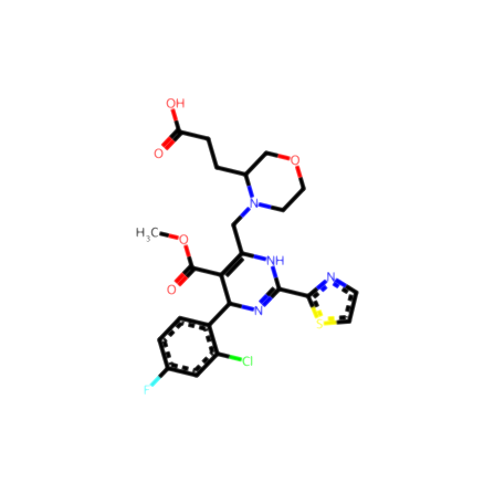 COC(=O)C1=C(CN2CCOCC2CCC(=O)O)NC(c2nccs2)=NC1c1ccc(F)cc1Cl